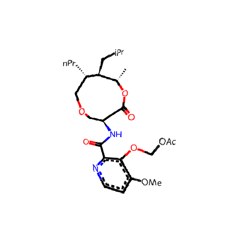 CCC[C@H]1COC[C@H](NC(=O)c2nccc(OC)c2OCOC(C)=O)C(=O)O[C@@H](C)[C@@H]1CC(C)C